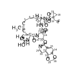 C[C@@H]1CCC=C[C@@H]2C[C@@]2(C(=O)NS(=O)(=O)C2(CF)CC2)NC(=O)[C@@H]2C[C@@H](Oc3nccc4c5c(ccc34)OCCO5)CN2C(=O)[C@@H](NC(=O)O)[C@H](C)C1